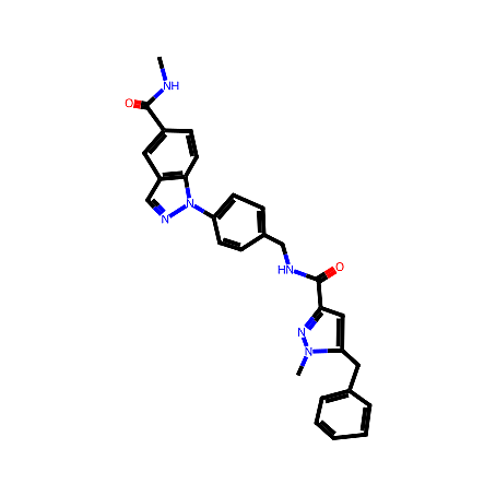 CNC(=O)c1ccc2c(cnn2-c2ccc(CNC(=O)c3cc(Cc4ccccc4)n(C)n3)cc2)c1